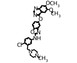 COc1cc2ncnc(Oc3ccc4oc(Nc5ccc(Cl)c(CN6CCN(C)CC6)c5)nc4c3)c2cc1OC